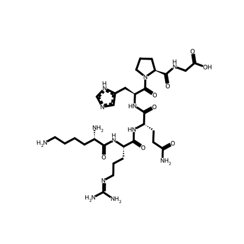 NCCCC[C@H](N)C(=O)N[C@@H](CCCN=C(N)N)C(=O)N[C@@H](CCC(N)=O)C(=O)N[C@@H](Cc1cnc[nH]1)C(=O)N1CCC[C@H]1C(=O)NCC(=O)O